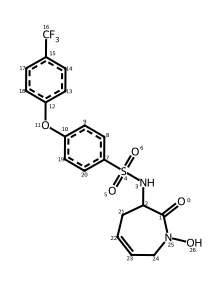 O=C1C(NS(=O)(=O)c2ccc(Oc3ccc(C(F)(F)F)cc3)cc2)CC=CCN1O